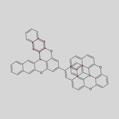 c1ccc([Si]23c4cc5ccccc5cc4Oc4cc(-c5ccc6c7c(ccc6c5)Oc5cccc6c5[Si]7(c5ccccc5)c5c(ccc7ccccc57)O6)cc(c42)Oc2cc4ccccc4cc23)cc1